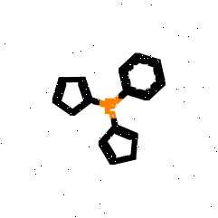 C1=CCC(P(C2=CCC=C2)c2ccccc2)=C1